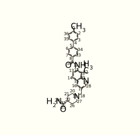 Cc1ccc(-c2ccc(C(=O)Nc3ccc4cc(CN5CCC(C(N)=O)CC5)cnc4c3C)cc2)cc1